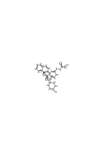 COC(=O)CCC1=CC(c2ccc3ccccc3c2)([N+](=O)[O-])C(OC2CCC(C)CC2)=CC1